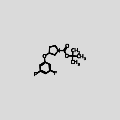 CC(C)(C)OC(=O)N1CC[C@H](Oc2cc(F)cc(F)c2)C1